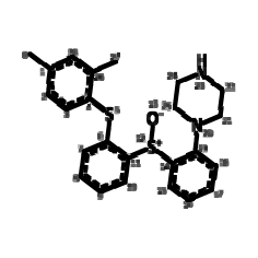 Cc1ccc(Sc2ccccc2[S+]([O-])c2ccccc2N2CCNCC2)c(C)c1